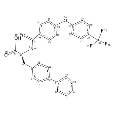 O=C(N[C@@H](Cc1ccc(-c2ccccc2)cc1)C(=O)O)c1ccc(Oc2ccc(C(F)(F)F)cc2)cc1